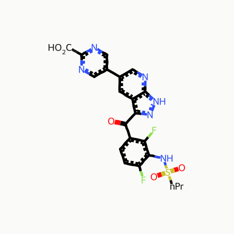 CCCS(=O)(=O)Nc1c(F)ccc(C(=O)c2n[nH]c3ncc(-c4cnc(C(=O)O)nc4)cc23)c1F